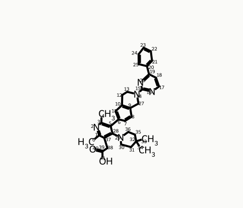 Cc1nc(C)c(-c2ccc3c(c2)CCN(c2nccc(-c4ccccc4)n2)C3)c(N2CCC(C)(C)CC2)c1CC(=O)O